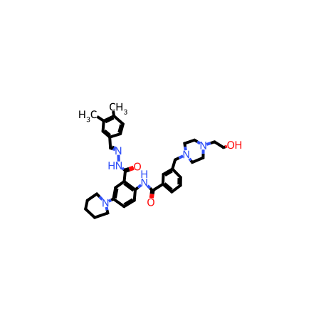 Cc1ccc(/C=N/NC(=O)c2cc(N3CCCCC3)ccc2NC(=O)c2cccc(CN3CCN(CCO)CC3)c2)cc1C